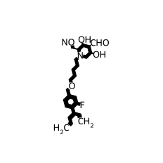 C=C/C=C(\C=C)c1ccc(COCCCCCN2C[C@H](O)[C@@H](C=O)[C@H](O)[C@@H]2CN=O)cc1F